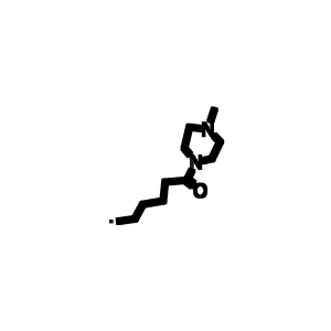 [CH2]CCCCC(=O)N1CCN(C)CC1